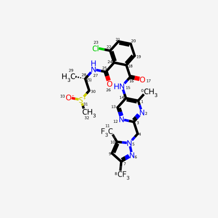 Cc1nc(Cn2nc(C(F)(F)F)cc2C(F)(F)F)ncc1NC(=O)c1cccc(Cl)c1C(=O)N[C@@H](C)C[S+](C)[O-]